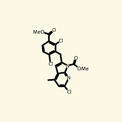 COC(=O)c1ccc(Cl)c(Cc2cc3c(C)cc(Cl)nc3n2C(=O)OC)c1Cl